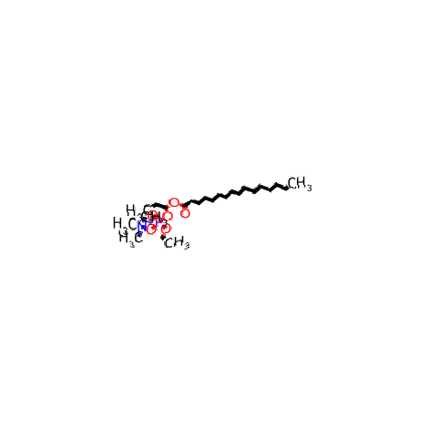 CCCCCCCCCCCCCCCC(=O)OC(CC)OP(=O)(OCC)O[N+](C)(C)C